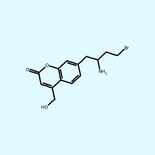 NC(CCBr)Cc1ccc2c(CO)cc(=O)oc2c1